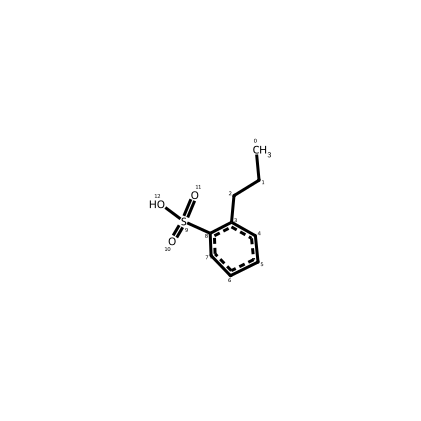 CCCc1ccc[c]c1S(=O)(=O)O